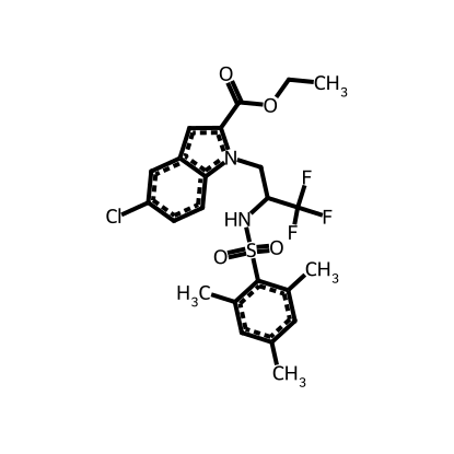 CCOC(=O)c1cc2cc(Cl)ccc2n1CC(NS(=O)(=O)c1c(C)cc(C)cc1C)C(F)(F)F